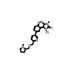 CC(C)n1c(=O)n(C)c2nnc3ccc(-c4ccc(COCC5CCCN5C)nc4)cc3c21